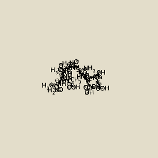 CNC(CCC(=O)O)C(=O)NC(CCC(=O)NC(CSC)C(N)=O)C(=O)NC(CCC(=O)NC(CSSCC(NC(=O)CN1CCN(CC(=O)O)CCN(CC(=O)O)CCN(CC(=O)O)CC1)OCN)C(N)=O)C(C)=O